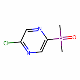 CP(C)(=O)c1cnc(Cl)cn1